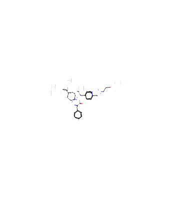 CC(C)C(c1ccc(C(=O)NCCC(=O)O)cc1)N1C(=O)C(c2ccc(F)cc2)=NC12CCC(C(C)(C)C)CC2